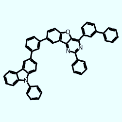 c1ccc(-c2cccc(-c3nc(-c4ccccc4)nc4c3oc3ccc(-c5cccc(-c6ccc7c(c6)c6ccccc6n7-c6ccccc6)c5)cc34)c2)cc1